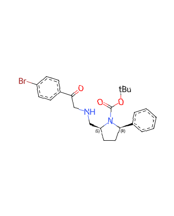 CC(C)(C)OC(=O)N1[C@H](CNCC(=O)c2ccc(Br)cc2)CC[C@@H]1c1ccccc1